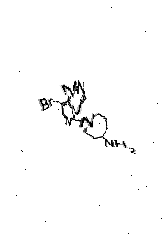 N[C@@H]1CCCN(c2ncc(Br)c3nncn23)CC1